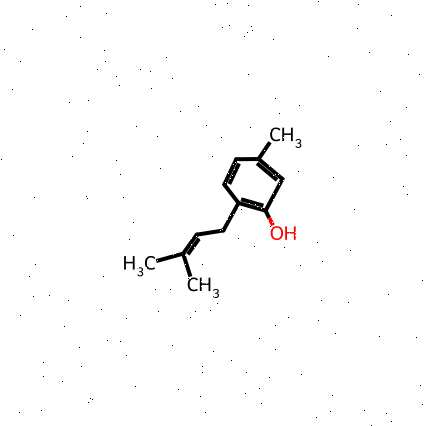 CC(C)=CCc1ccc(C)cc1O